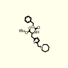 CC(C)(C)OC(=O)C(Cc1ccc(CN2CCCCCC2)s1)NC(=O)OCc1ccccc1